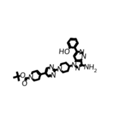 CC(C)(C)OC(=O)N1CC=C(c2cnc(N3CCC(n4nc(N)c5nnc(-c6ccccc6O)cc54)CC3)nc2)CC1